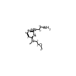 COCCN(C)c1ccnc(NCCN)n1